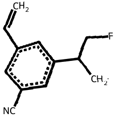 [CH2]C(CF)c1cc(C#N)cc(C=C)c1